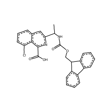 CC(NC(=O)OCC1c2ccccc2-c2ccccc21)c1cc2cccc(Cl)c2c(C(=O)O)n1